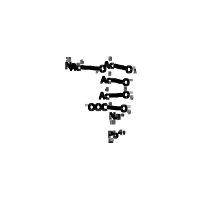 CC(=O)[O-].CC(=O)[O-].CC(=O)[O-].CC(=O)[O-].O=C([O-])[O-].[Na+].[Na+].[Pb+4]